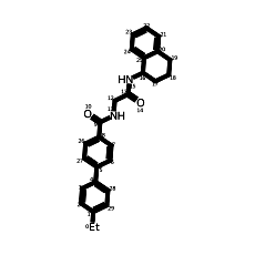 CCc1ccc(-c2ccc(C(=O)NCC(=O)NC3CCCc4ccccc43)cc2)cc1